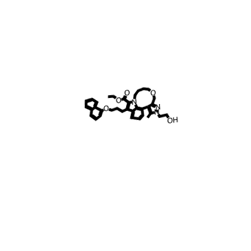 CCOC(=O)c1c(CCCOc2cccc3ccccc23)c2cccc3c2n1CCCCOCc1nn(CCO)c(C)c1-3